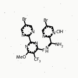 COc1nc(-c2ncc(Br)cn2)nc(F)c1C(F)(F)F.Cl.N=C(N)c1ncc(Br)cn1